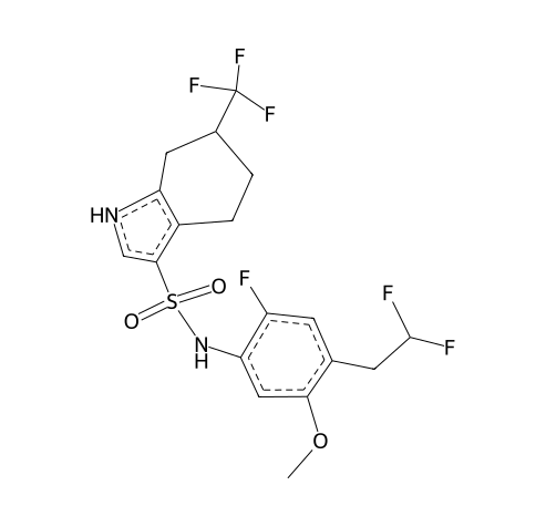 COc1cc(NS(=O)(=O)c2c[nH]c3c2CCC(C(F)(F)F)C3)c(F)cc1CC(F)F